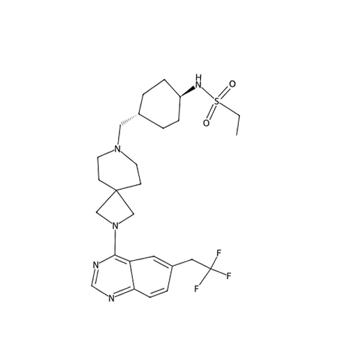 CCS(=O)(=O)N[C@H]1CC[C@H](CN2CCC3(CC2)CN(c2ncnc4ccc(CC(F)(F)F)cc24)C3)CC1